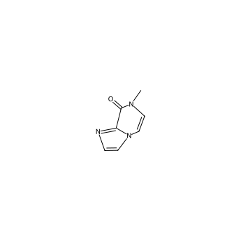 Cn1ccn2ccnc2c1=O